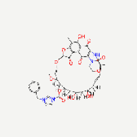 CO[C@H]1/C=C/OC2(C)Oc3c(C)c(O)c4c(c3C2=O)C(=O)C(N2CCOCC2)=C(NC(=O)/C(C)=C\C=C\[C@H](C)[C@H](O)[C@@H](C)[C@@H](O)[C@@H](C)[C@H](OC(=O)n2cc[n+](Cc3ccccc3)c2)[C@@H]1C)C4=O